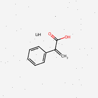 C=C(C(=O)O)c1ccccc1.[LiH]